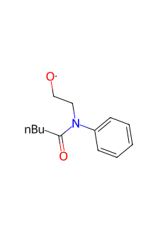 CCCCC(=O)N(CC[O])c1ccccc1